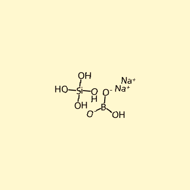 O[Si](O)(O)O.[Na+].[Na+].[O-]B([O-])O